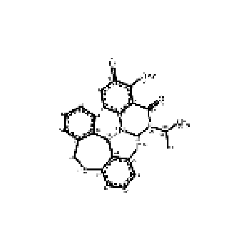 CC(=O)Oc1c2n(ccc1=O)N([C@H]1c3ccccc3CSc3cccc(F)c31)CN([C@H](C)C(F)(F)F)C2=O